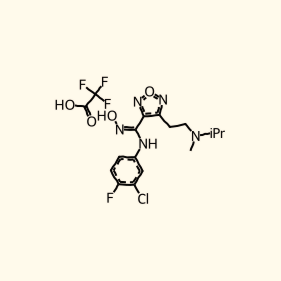 CC(C)N(C)CCc1nonc1/C(=N\O)Nc1ccc(F)c(Cl)c1.O=C(O)C(F)(F)F